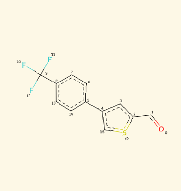 O=Cc1cc(-c2ccc(C(F)(F)F)cc2)cs1